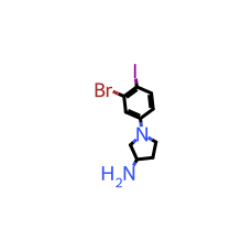 NC1CCN(c2ccc(I)c(Br)c2)C1